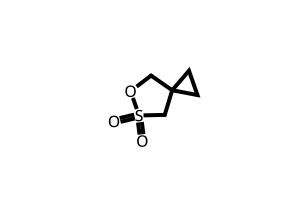 O=S1(=O)CC2(CC2)CO1